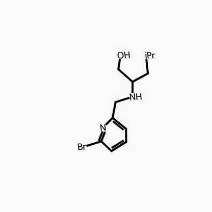 CC(C)CC(CO)NCc1cccc(Br)n1